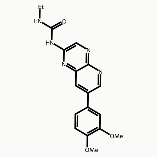 CCNC(=O)Nc1cnc2ncc(-c3ccc(OC)c(OC)c3)cc2n1